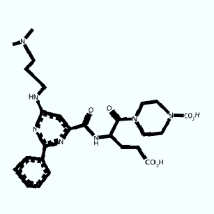 CN(C)CCCNc1cc(C(=O)NC(CCC(=O)O)C(=O)N2CCN(C(=O)O)CC2)nc(-c2ccccc2)n1